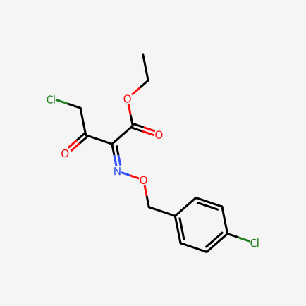 CCOC(=O)C(=NOCc1ccc(Cl)cc1)C(=O)CCl